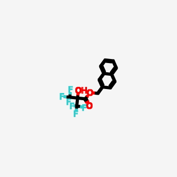 O=C(OCc1ccc2ccccc2c1)C(O)(C(F)(F)F)C(F)(F)F